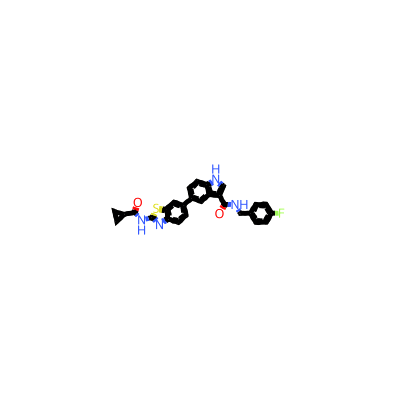 O=C(NCc1ccc(F)cc1)c1c[nH]c2ccc(-c3ccc4nc(NC(=O)C5CC5)sc4c3)cc12